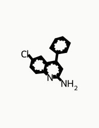 Nc1cc(-c2ccccc2)c2cc(Cl)ccc2n1